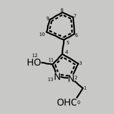 O=CCn1cc(-c2ccccc2)c(O)n1